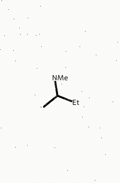 [CH2]C(CC)NC